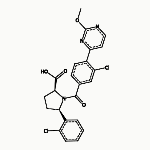 COc1nccc(-c2ccc(C(=O)N3[C@@H](c4ccccc4Cl)CC[C@H]3C(=O)O)cc2Cl)n1